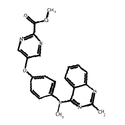 COC(=O)c1ncc(Oc2ccc(N(C)c3nc(C)nc4ccccc34)cc2)cn1